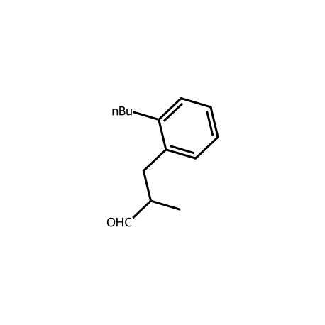 CCCCc1ccccc1CC(C)C=O